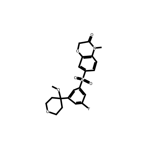 COC1(c2cc(F)cc(S(=O)(=O)c3ccc4c(c3)OCC(=O)N4C)c2)CCOCC1